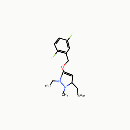 CNCC1C=C(OCc2cc(F)ccc2F)N(CC(C)(C)C)N1C